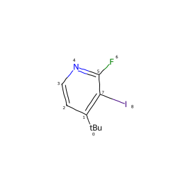 CC(C)(C)c1ccnc(F)c1I